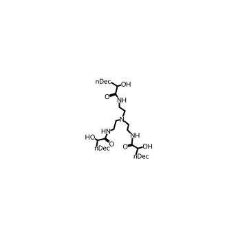 CCCCCCCCCCC(O)C(=O)NCCN(CCNC(=O)C(O)CCCCCCCCCC)CCNC(=O)C(O)CCCCCCCCCC